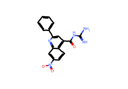 N=C(N)NC(=O)c1cc(-c2ccccc2)nc2cc([N+](=O)[O-])ccc12